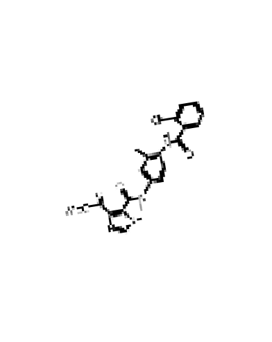 COC(=O)c1nc[nH]c1C(=O)Nc1ccc(NC(=O)c2ccccc2Cl)c(C)c1